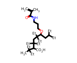 C=C(C)C(=O)NCCCOC(CC(CC)CC)C(CC)(CC)CC(CC)(CC)C(C(=O)O)C(C)(CC)CC